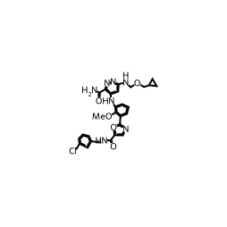 COc1c(Nc2cc(NCOCC3CC3)nnc2C(N)=O)cccc1-c1ncc(C(=O)NCc2cccc(Cl)c2)o1